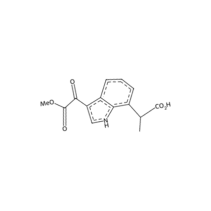 COC(=O)C(=O)c1c[nH]c2c(C(C)C(=O)O)cccc12